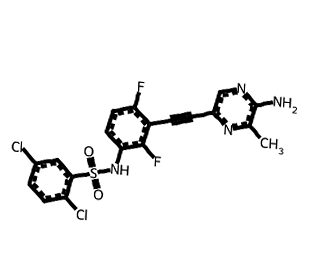 Cc1nc(C#Cc2c(F)ccc(NS(=O)(=O)c3cc(Cl)ccc3Cl)c2F)cnc1N